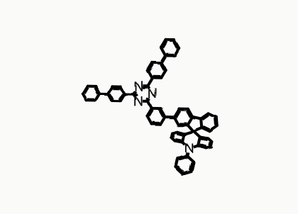 c1ccc(-c2ccc(-c3nc(-c4ccc(-c5ccccc5)cc4)nc(-c4cccc(-c5ccc6c(c5)C5(c7ccccc7-6)c6ccccc6N(c6ccccc6)c6ccccc65)c4)n3)cc2)cc1